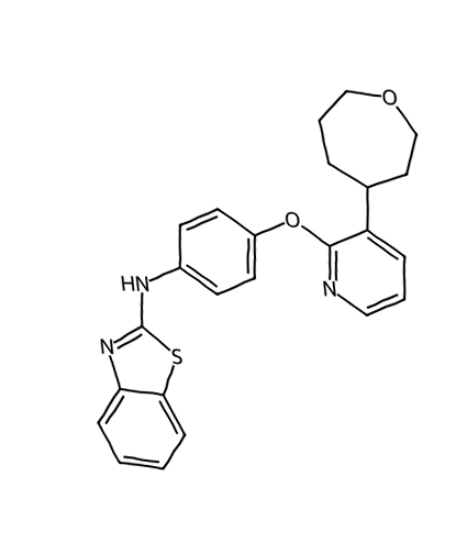 c1cnc(Oc2ccc(Nc3nc4ccccc4s3)cc2)c(C2CCCOCC2)c1